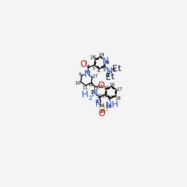 CCN(CC)c1cc(C(=O)N2CCCC(COc3cccc4c3C(N)=N[S+]([O-])N4)C2)ccn1